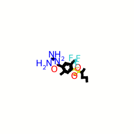 CCCC(C)S(=O)(=O)c1cc(C)c(C(=O)N=C(N)N)cc1C(F)(F)F